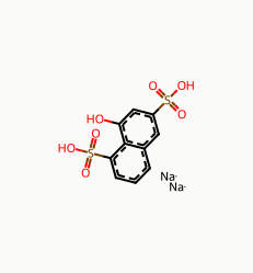 O=S(=O)(O)c1cc(O)c2c(S(=O)(=O)O)cccc2c1.[Na].[Na]